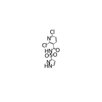 O=C(NS(=O)(=O)c1cc[nH]n1)c1ccc(Cl)nc1Cl